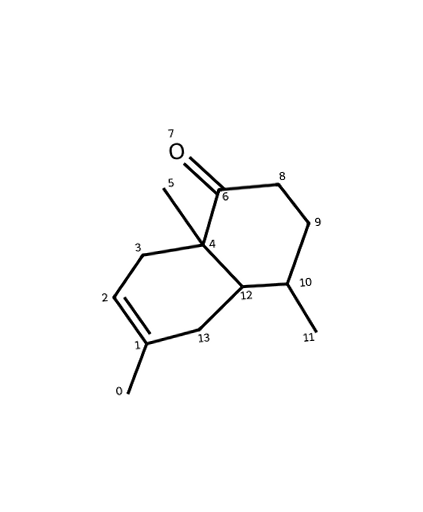 CC1=CCC2(C)C(=O)CCC(C)C2C1